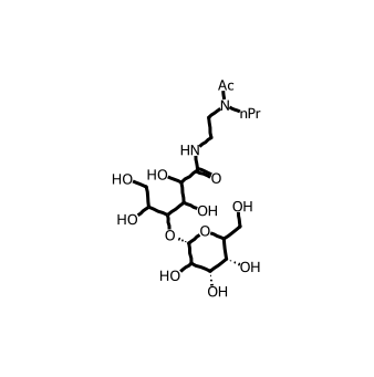 CCCN(CCNC(=O)C(O)C(O)C(O[C@@H]1OC(CO)[C@H](O)[C@H](O)C1O)C(O)CO)C(C)=O